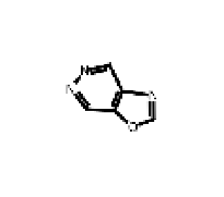 [c]1nncc2ncoc12